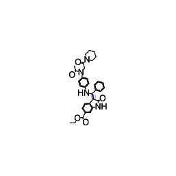 CCOC(=O)c1ccc2c(c1)NC(=O)/C2=C(/Nc1ccc(N(CC(=O)N2CCCCC2)C(C)=O)cc1)c1ccccc1